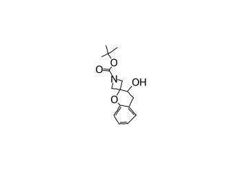 CC(C)(C)OC(=O)N1CC2(C1)Oc1ccccc1CC2O